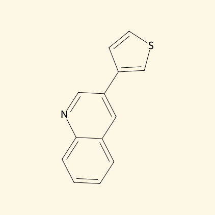 c1ccc2ncc(-c3ccsc3)cc2c1